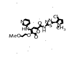 COCCOc1c(Nc2cccnc2)cc(C(=O)Nc2nnc(-c3c(Cl)ccn3C)s2)oc1=O